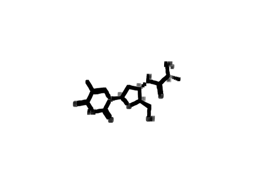 Cc1cn([C@H]2C[C@H](NC(=O)[C@@H](C)N)[C@@H](CO)O2)c(=O)[nH]c1=O